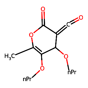 CCCOC1=C(C)OC(=O)C(=C=O)C1OCCC